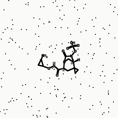 NC1CC1ONC(=O)[C@@H]1CC2(CC2)[C@@H]2CN1C(=O)N2OS(=O)(=O)O